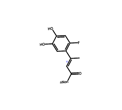 CCCCCCCCCC(=O)/C=C(\C)c1cc(O)c(O)cc1F